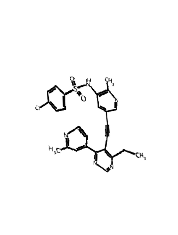 CCc1ncnc(-c2ccnc(C)c2)c1C#Cc1cnc(C)c(NS(=O)(=O)c2ccc(Cl)cc2)c1